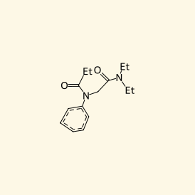 CCC(=O)N(CC(=O)N(CC)CC)c1ccccc1